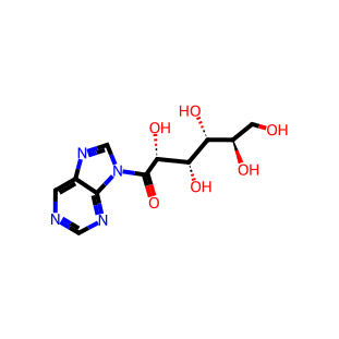 O=C([C@H](O)[C@@H](O)[C@H](O)[C@H](O)CO)n1cnc2cncnc21